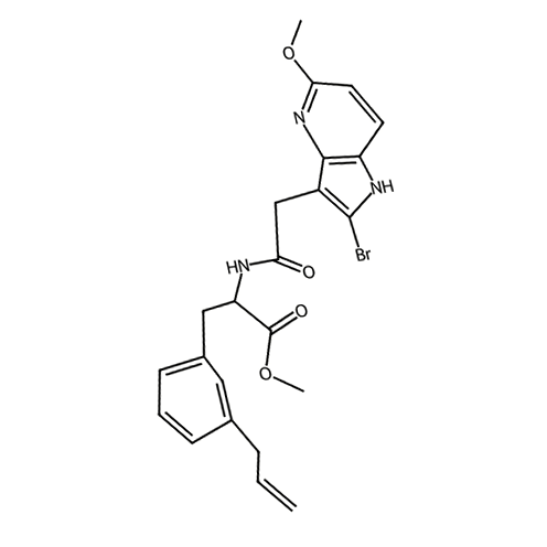 C=CCc1cccc(CC(NC(=O)Cc2c(Br)[nH]c3ccc(OC)nc23)C(=O)OC)c1